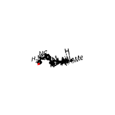 COCCNC(=O)Cn1cc(-c2cnc3c(-c4ccc(C#N)c(OCC(N)c5ccccc5)c4)cnn3c2)cn1